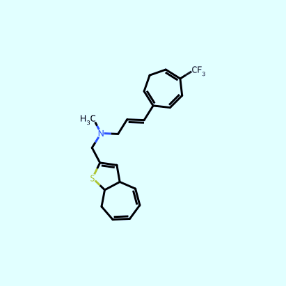 CN(C/C=C/C1=CCC=C(C(F)(F)F)C=C1)CC1=CC2C=CC=CCC2S1